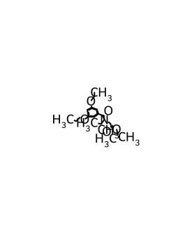 CCCOc1cc(OCC)cc(C(=O)N(CC(=O)OC(C)C)C(C)C)c1